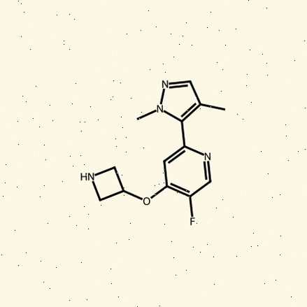 Cc1cnn(C)c1-c1cc(OC2CNC2)c(F)cn1